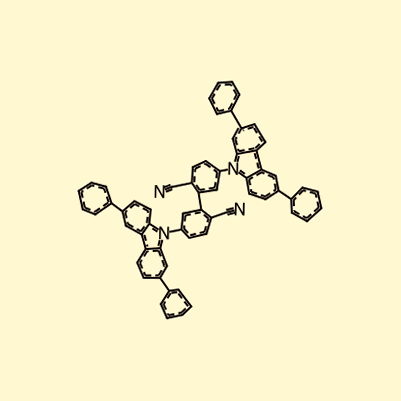 N#Cc1ccc(-n2c3ccc(-c4ccccc4)cc3c3ccc(-c4ccccc4)cc32)cc1-c1cc(-n2c3ccc(-c4ccccc4)cc3c3ccc(-c4ccccc4)cc32)ccc1C#N